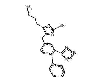 CCCCc1nc(CCCN)n(Cc2ccc(-c3ccccc3)c(-c3nnn[nH]3)c2)n1